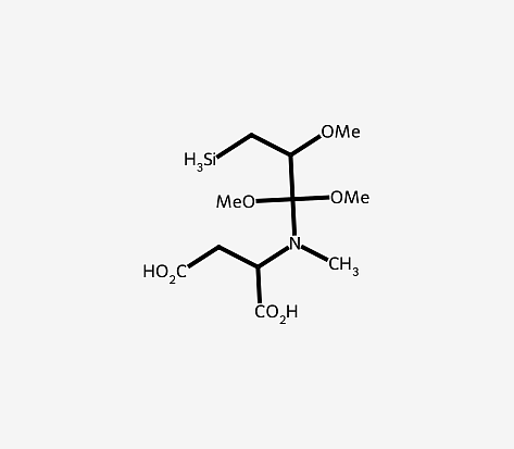 COC(C[SiH3])C(OC)(OC)N(C)C(CC(=O)O)C(=O)O